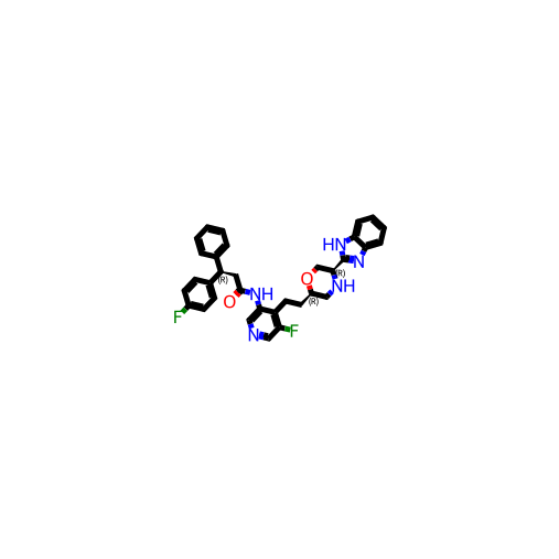 O=C(C[C@H](c1ccccc1)c1ccc(F)cc1)Nc1cncc(F)c1CC[C@@H]1CN[C@H](c2nc3ccccc3[nH]2)CO1